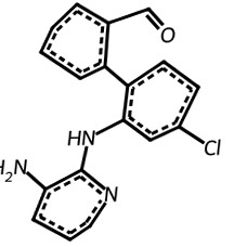 Nc1cccnc1Nc1cc(Cl)ccc1-c1ccccc1C=O